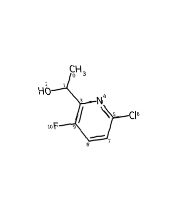 CC(O)c1nc(Cl)ccc1F